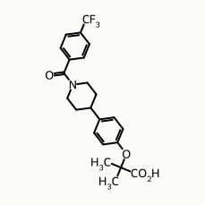 CC(C)(Oc1ccc(C2CCN(C(=O)c3ccc(C(F)(F)F)cc3)CC2)cc1)C(=O)O